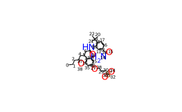 CCCCCC(CC(=O)Nc1cc(C(N)=O)ccc1C(C)(C)C)c1ccc(OCCCS(C)(=O)=O)cc1OC